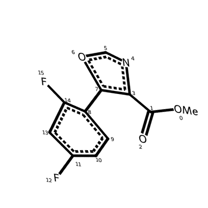 COC(=O)c1ncoc1-c1ccc(F)cc1F